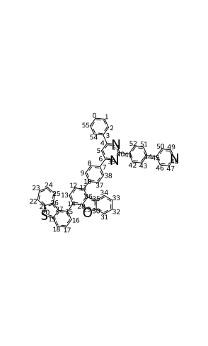 c1ccc(-c2cc(-c3ccc(-c4ccc(-c5cccc6sc7ccccc7c56)c5oc6ccccc6c45)cc3)nc(-c3ccc(-c4ccncc4)cc3)n2)cc1